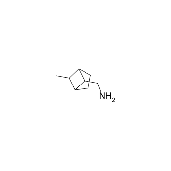 CC1C2CCC1C2CN